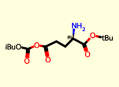 CC(C)COC(=O)OC(=O)CC[C@@H](N)C(=O)OC(C)(C)C